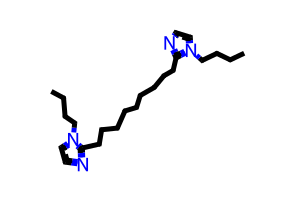 CCCCn1ccnc1CCCCCCCCCc1nccn1CCCC